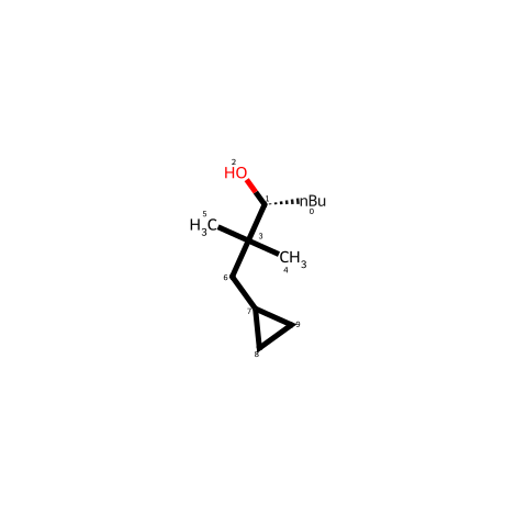 CCCC[C@@H](O)C(C)(C)CC1CC1